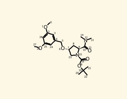 COc1cc(CO[C@@H]2C[C@@H](C(=O)N(C)C)N(C(=O)OC(C)(C)C)C2)cc(OC)c1